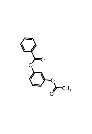 CC(=O)Oc1cccc(OC(=O)c2ccccc2)c1